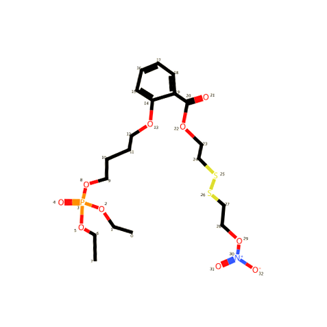 CCOP(=O)(OCC)OCCCCOc1ccccc1C(=O)OCCSSCCO[N+](=O)[O-]